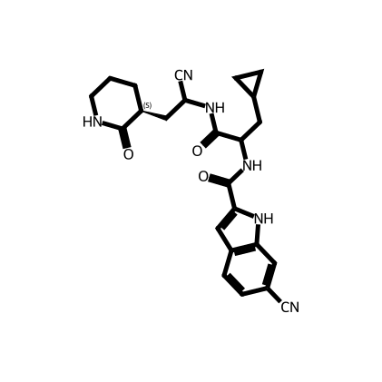 N#Cc1ccc2cc(C(=O)NC(CC3CC3)C(=O)NC(C#N)C[C@@H]3CCCNC3=O)[nH]c2c1